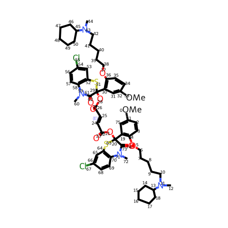 COc1ccc(OCCCCCN(C)C2CCCCC2)c(C2(OC(=O)/C=C/C(=O)OC3(c4cc(OC)ccc4OCCCCCN(C)C4CCCCC4)Sc4cc(Cl)ccc4N(C)C3=O)Sc3cc(Cl)ccc3N(C)C2=O)c1